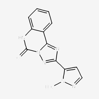 Cn1nccc1-c1nc2c3ccccc3[nH]c(=O)n2n1